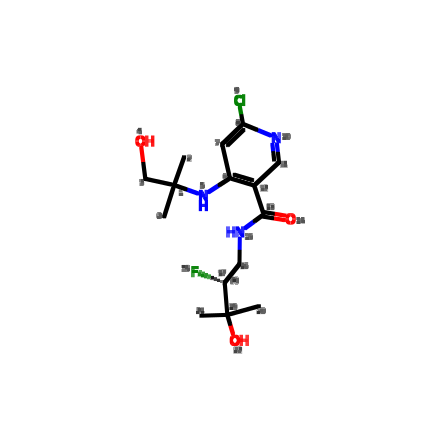 CC(C)(CO)Nc1cc(Cl)ncc1C(=O)NC[C@@H](F)C(C)(C)O